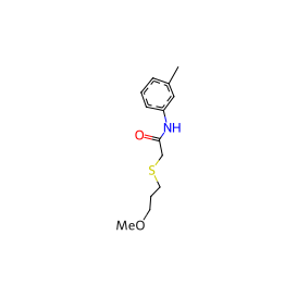 COCCCSCC(=O)Nc1cccc(C)c1